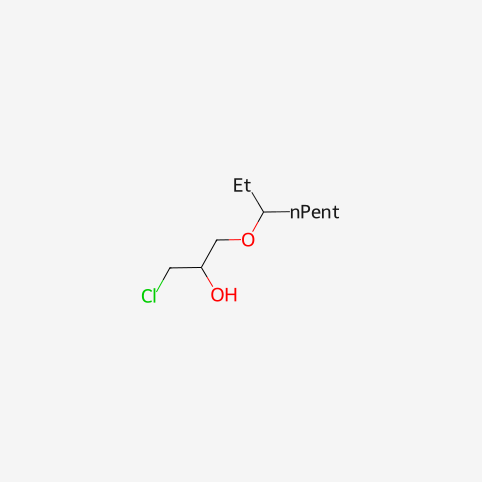 CCCCCC(CC)OCC(O)CCl